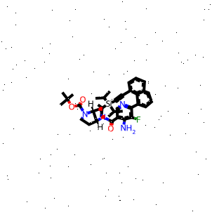 CC(C)[Si](C#Cc1cccc2cccc(-c3ncc(C(=O)N4C[C@@H]5[C@H]4CCN5C(=O)OC(C)(C)C)c(N)c3F)c12)(C(C)C)C(C)C